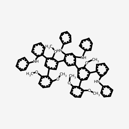 COc1cccc(OC)c1-c1cc(-c2ccccc2Nc2ccccc2)c(OC)c(-c2cc(-c3cc(-c4c(OC)cccc4OC)cc(-c4ccccc4Nc4ccccc4)c3OC)c(Nc3ccccc3)cc2Nc2ccccc2)c1